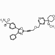 COC1(c2cncc(COCC#Cc3nc(-c4ccccc4)c(-c4ccc(S(N)(=O)=O)cc4)o3)c2)CCOCC1